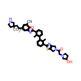 Cc1c(-c2nc3cc(CCC4(C(=O)O)CCNC4)cc(C#N)c3o2)cccc1-c1cccc(-c2nc3c(s2)CN(C(=O)CN2CCC(O)C2)C3)c1C